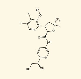 CCOc1c([C@@H]2C[C@](C)(C(F)(F)F)O[C@H]2C(=O)Nc2ccc([C@@H](O)CO)nc2)ccc(F)c1F